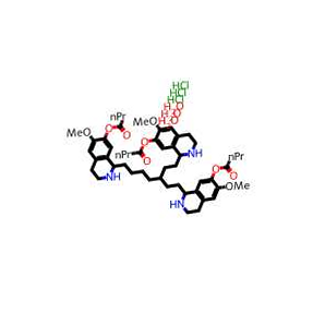 CCCC(=O)Oc1cc2c(cc1OC)CCNC2CCCCC(CCC1NCCc2cc(OC)c(OC(=O)CCC)cc21)CCC1NCCc2cc(OC)c(OC(=O)CCC)cc21.Cl.Cl.Cl.O.O.O